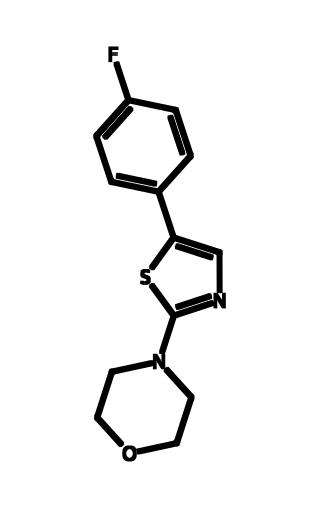 Fc1ccc(-c2cnc(N3CCOCC3)s2)cc1